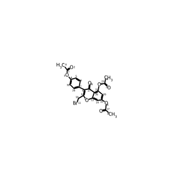 CC(=O)Oc1ccc(-c2c(CBr)oc3cc(OC(C)=O)cc(OC(C)=O)c3c2=O)cc1